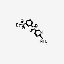 CCS(=O)(=O)c1cccc(S(=O)(=O)c2ccc(CN)nc2)c1